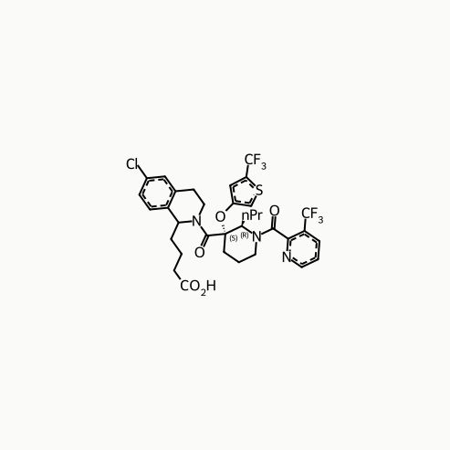 CCC[C@H]1N(C(=O)c2ncccc2C(F)(F)F)CCC[C@@]1(Oc1csc(C(F)(F)F)c1)C(=O)N1CCc2cc(Cl)ccc2C1CCCC(=O)O